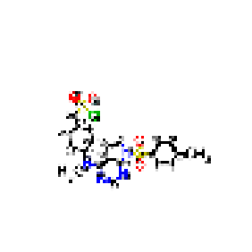 Cc1ccc(S(=O)(=O)n2ccc3c(N(C)C4CCC(CS(=O)(=O)Cl)CC4)ncnc32)cc1